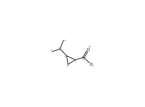 CC(C)C1CC1C([O])=O